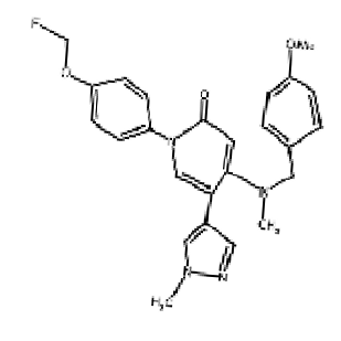 COc1ccc(CN(C)c2cc(=O)n(-c3ccc(OCF)cc3)cc2-c2cnn(C)c2)cc1